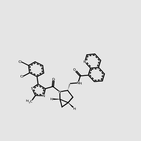 Cc1nc(C(=O)N2[C@H](CNC(=O)c3cccc4cccnc34)C[C@@H]3C[C@@H]32)c(-c2cccc(Cl)c2Cl)s1